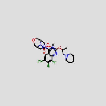 CC(CN1CCCCC1)Oc1nc(N2CC3COCC(C2)N3C(=O)OC(C)(C)C)c2cc(Cl)c(Br)c(F)c2n1